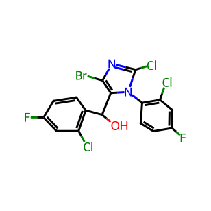 OC(c1ccc(F)cc1Cl)c1c(Br)nc(Cl)n1-c1ccc(F)cc1Cl